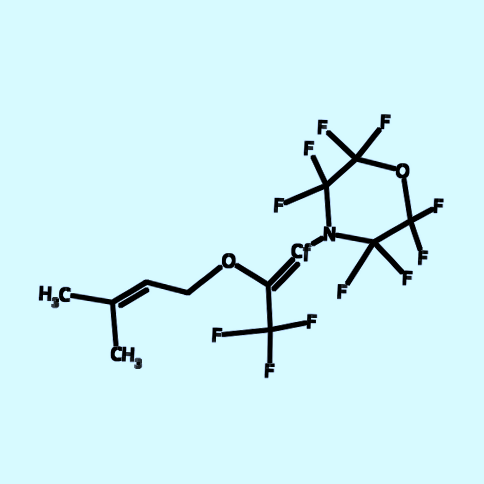 CC(C)=CCO[C](=[Cf][N]1C(F)(F)C(F)(F)OC(F)(F)C1(F)F)C(F)(F)F